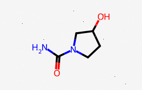 NC(=O)N1CCC(O)C1